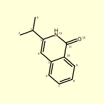 CC(C)c1cc2ccccc2c(=O)[nH]1